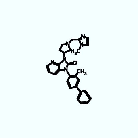 Cc1cc(-c2ccccc2)ccc1-n1c(=O)n(C2CCN(Cc3nccn3C)C2)c2ncccc21